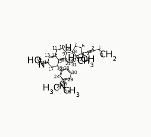 C=CC#C[C@]1(O)CC[C@H]2[C@@H]3CCC4=CC(=NO)CCC4=C3[C@@H](c3ccc(N(C)C)cc3)C[C@@]21C